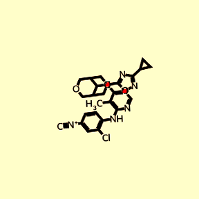 [C-]#[N+]c1ccc(Nc2ncnc(OC3C4COCC3CN(c3nc(C5CC5)no3)C4)c2C)c(Cl)c1